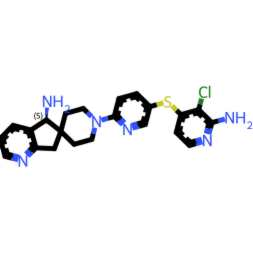 Nc1nccc(Sc2ccc(N3CCC4(CC3)Cc3ncccc3[C@H]4N)nc2)c1Cl